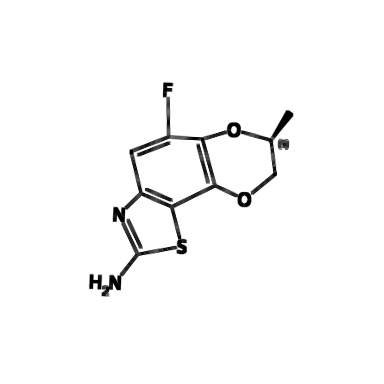 C[C@H]1COc2c(c(F)cc3nc(N)sc23)O1